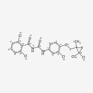 CC1(COc2ccc(NC(=O)NC(=O)c3c(Cl)cccc3Cl)cc2Cl)CC1(Cl)Cl